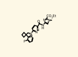 CCOC(=O)c1nc(NC(=O)c2ccc(NCC3(c4ncccc4F)CCC3)nn2)cn1C